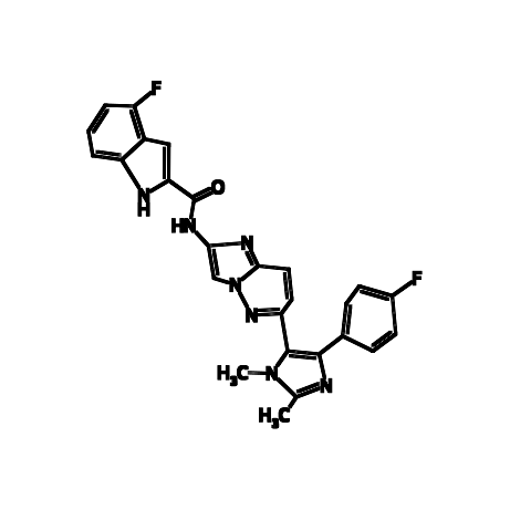 Cc1nc(-c2ccc(F)cc2)c(-c2ccc3nc(NC(=O)c4cc5c(F)cccc5[nH]4)cn3n2)n1C